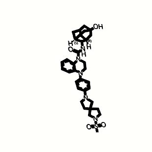 CS(=O)(=O)N1CCC2(CCN(c3ccc(N4CCN(C(=O)NC5[C@@H]6CC7C[C@H]5CC(O)(C7)C6)c5ccccc54)cc3)C2)C1